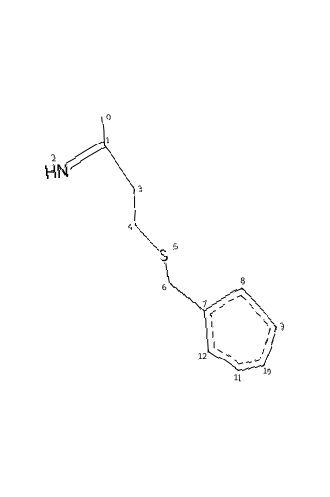 CC(=N)CCSCc1ccccc1